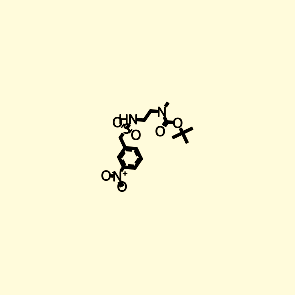 CN(CCNS(=O)(=O)Cc1cccc([N+](=O)[O-])c1)C(=O)OC(C)(C)C